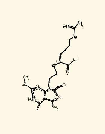 CNc1nc2c(c(N)nc(=O)n2CCN[C@@H](CCCNC(=N)N)C(=O)O)c(=O)[nH]1